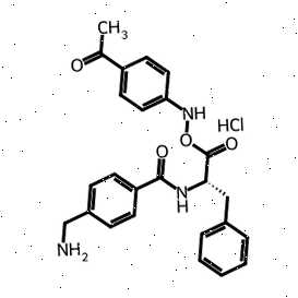 CC(=O)c1ccc(NOC(=O)[C@H](Cc2ccccc2)NC(=O)c2ccc(CN)cc2)cc1.Cl